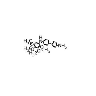 COc1cc(Nc2ccc(-c3ccc(N)cc3)cc2)c(OC)c(OC)c1OC